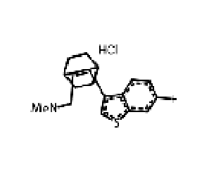 CNCC1=C(c2csc3cc(F)ccc23)C2CCC1CC2.Cl